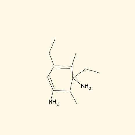 CCC1=C(C)C(N)(CC)C(C)C(N)=C1